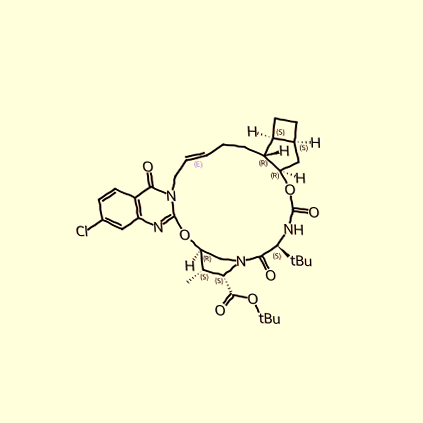 C[C@@H]1[C@@H]2CN(C(=O)[C@H](C(C)(C)C)NC(=O)O[C@@H]3C[C@@H]4CC[C@@H]4[C@H]3CC/C=C/Cn3c(nc4cc(Cl)ccc4c3=O)O2)[C@@H]1C(=O)OC(C)(C)C